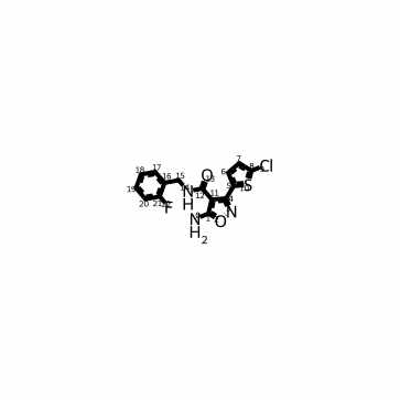 Nc1onc(-c2ccc(Cl)s2)c1C(=O)NCc1ccccc1F